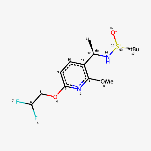 COc1nc(OCC(F)F)ccc1[C@@H](C)N[S@+]([O-])C(C)(C)C